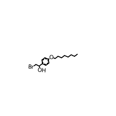 CCCCCCCCOc1ccc(C(O)CBr)cc1